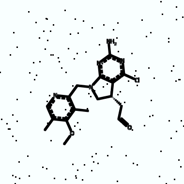 COc1c(C)cnc(CN2C[C@@H](CC=O)c3c(Cl)nc(N)nc32)c1C